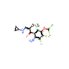 CCOC(=O)/C(=C/NC1CC1)C(=O)c1c(N)c(F)c(F)c(OC(F)F)c1F